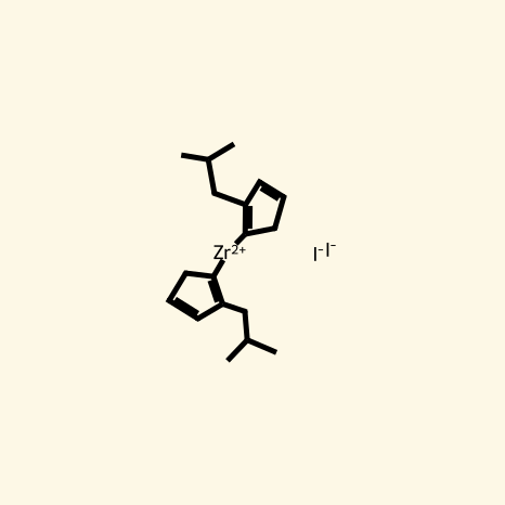 CC(C)CC1=[C]([Zr+2][C]2=C(CC(C)C)C=CC2)CC=C1.[I-].[I-]